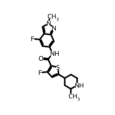 CC1CC(c2cc(F)c(C(=O)Nc3cc(F)c4cn(C)nc4c3)s2)CCN1